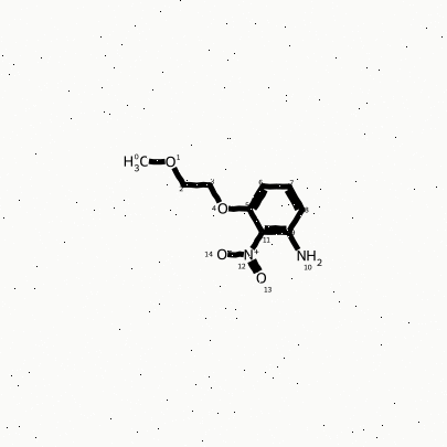 COCCOc1cccc(N)c1[N+](=O)[O-]